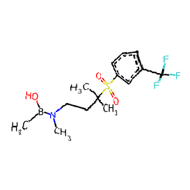 CB(O)N(C)CCC(C)(C)S(=O)(=O)c1cccc(C(F)(F)F)c1